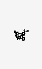 C=C(/C=C\c1c(C)ccc2c1NCCn1c-2c(C2CCCCC2)c2ccc(C(=O)O)cc21)c1cc(C)sc1C